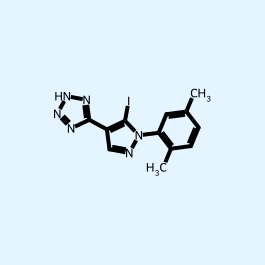 Cc1ccc(C)c(-n2ncc(-c3nn[nH]n3)c2I)c1